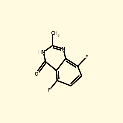 Cc1nc2c(F)ccc(F)c2c(=O)[nH]1